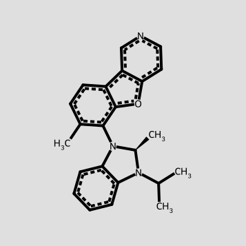 Cc1ccc2c(oc3ccncc32)c1N1c2ccccc2N(C(C)C)[C@@H]1C